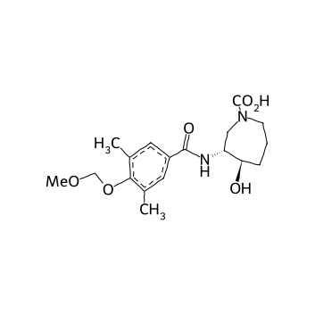 COCOc1c(C)cc(C(=O)N[C@@H]2CN(C(=O)O)CCC[C@H]2O)cc1C